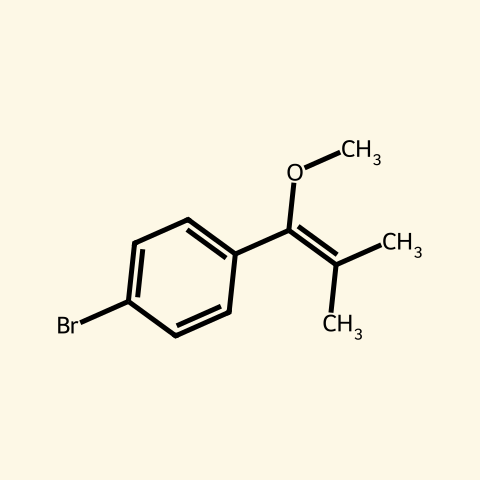 COC(=C(C)C)c1ccc(Br)cc1